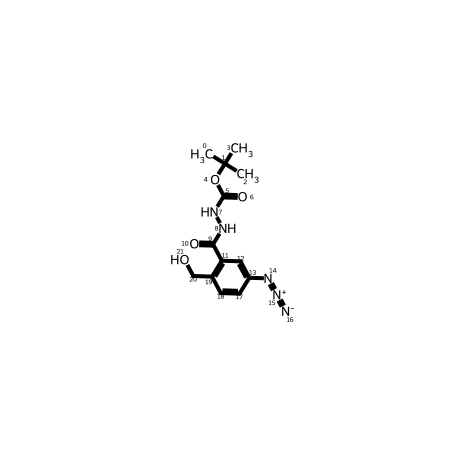 CC(C)(C)OC(=O)NNC(=O)c1cc(N=[N+]=[N-])ccc1CO